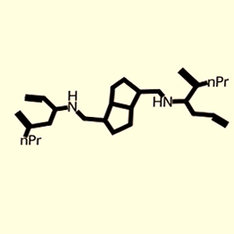 C=CCC(NCC1CCC2C(CNC(C=C)CC(=C)CCC)CCC12)C(=C)CCC